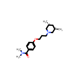 C[C@@H]1C[C@@H](C)CN(CCCOc2ccc(C(=O)N(C)C)cc2)C1